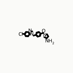 N[C@H]1CCN(C(=O)c2ccc(Cn3cnc4cc(Cl)ccc43)cc2)C1